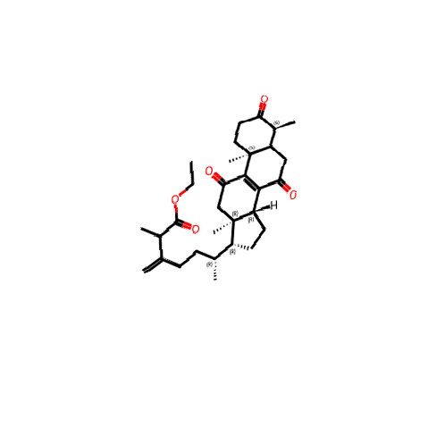 C=C(CC[C@@H](C)[C@H]1CC[C@H]2C3=C(C(=O)C[C@]12C)[C@@]1(C)CCC(=O)[C@@H](C)C1CC3=O)C(C)C(=O)OCC